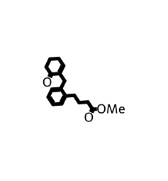 COC(=O)CCCc1ccccc1CC1=CCCCC1=O